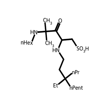 CCCCCCNC(C)(C)C(=O)C(CS(=O)(=O)O)NCCC(CC)(CCC)CCCCC